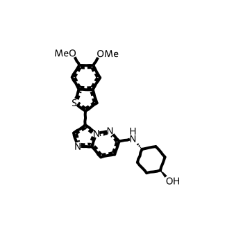 COc1cc2cc(-c3cnc4ccc(N[C@H]5CC[C@H](O)CC5)nn34)sc2cc1OC